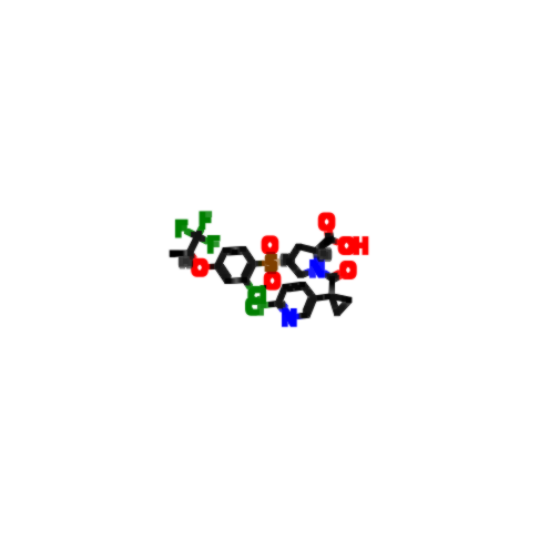 C[C@H](Oc1ccc(S(=O)(=O)[C@@H]2C[C@@H](C(=O)O)N(C(=O)C3(c4ccc(Cl)nc4)CC3)C2)c(Cl)c1)C(F)(F)F